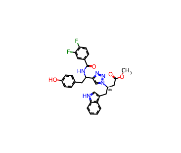 COC(=O)C[C@@H](Cc1c[nH]c2ccccc12)n1cc(C(Cc2ccc(O)cc2)NC(=O)c2ccc(F)c(F)c2)nn1